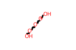 OCCOCC=COC=CCOCCO